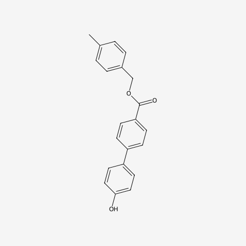 Cc1ccc(COC(=O)c2ccc(-c3ccc(O)cc3)cc2)cc1